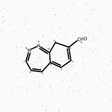 O=CC1=CC=C2C=CC=NN=C2C1